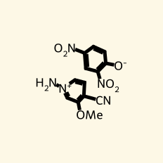 COc1c[n+](N)ccc1C#N.O=[N+]([O-])c1ccc([O-])c([N+](=O)[O-])c1